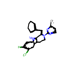 Fc1cc2[nH]c3c(c2cc1Cl)CCN(c1nccc(C(F)(F)F)n1)C3CC1CCCCC1